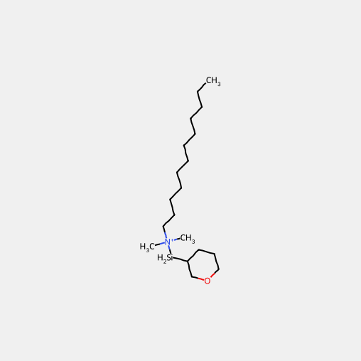 CCCCCCCCCCCC[N+](C)(C)[SiH2]C1CCCOC1